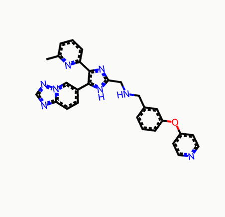 Cc1cccc(-c2nc(CNCc3cccc(Oc4ccncc4)c3)[nH]c2-c2ccc3ncnn3c2)n1